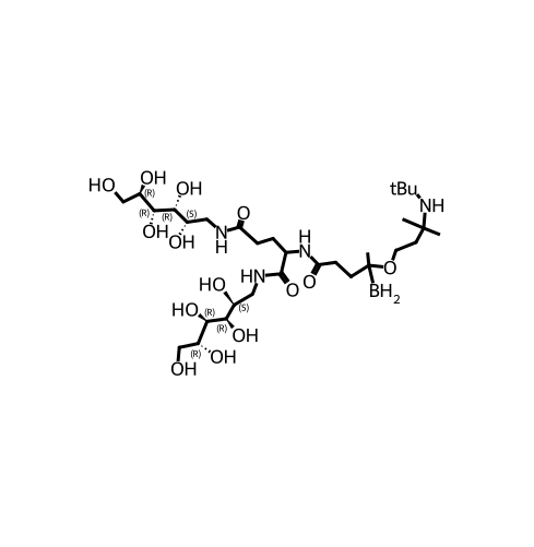 BC(C)(CCC(=O)NC(CCC(=O)NC[C@H](O)[C@@H](O)[C@H](O)[C@H](O)CO)C(=O)NC[C@H](O)[C@@H](O)[C@H](O)[C@H](O)CO)OCCC(C)(C)NC(C)(C)C